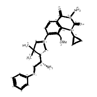 COc1c(N2C[C@H]([C@H](N)COc3ccccc3)C(C)(C)C2)ccc2c(=O)n(N)c(=O)n(C3CC3)c12